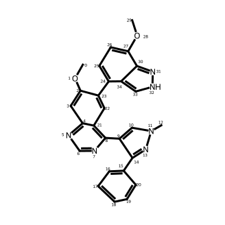 COc1cc2ncnc(-c3cn(C)nc3-c3ccccc3)c2cc1-c1ccc(OC)c2n[nH]cc12